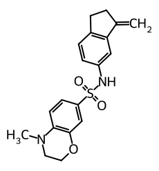 C=C1CCc2ccc(NS(=O)(=O)c3ccc4c(c3)OCCN4C)cc21